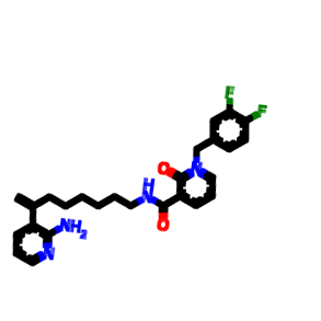 C=C(CCCCCCNC(=O)c1cccn(Cc2ccc(F)c(F)c2)c1=O)c1cccnc1N